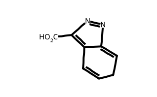 O=C(O)C1=C2C=CCC=C2N=N1